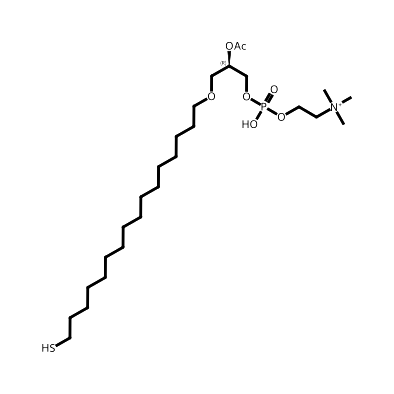 CC(=O)O[C@H](COCCCCCCCCCCCCCCCCS)COP(=O)(O)OCC[N+](C)(C)C